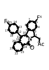 CC(=O)CC1c2cc(F)ccc2-c2c(-c3ccc(F)cc3)c3ccccc3c(=O)n21